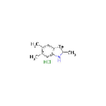 Cc1cc2c(cc1C)[Te]C(C)N2.Cl